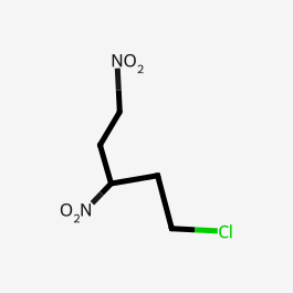 O=[N+]([O-])CCC(CCCl)[N+](=O)[O-]